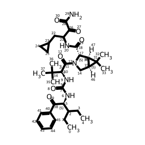 CCC(CC)[C@H](NC(=O)N[C@H](C(=O)N1C[C@H]2[C@@H]([C@H]1C(=O)NC(CC1CC1)C(=O)C(N)=O)C2(C)C)C(C)(C)C)C(=O)c1ccccc1